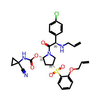 C=CCN[C@@H](C(=O)N1C[C@H](S(=O)(=O)c2ccccc2OCC=C)C[C@@H]1OC(=O)NC1(C#N)CC1)c1ccc(Cl)cc1